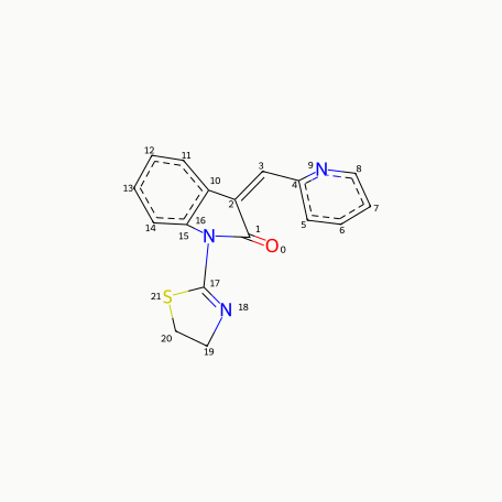 O=C1C(=Cc2ccccn2)c2ccccc2N1C1=NCCS1